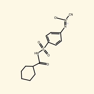 N#C/[N+]([O-])=N/c1ccc(S(=O)(=O)NC(=O)C2CCCCC2)cc1